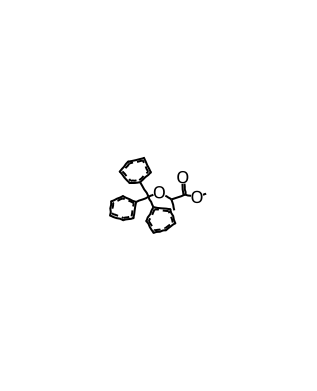 COC(=O)C(C)OC(c1ccccc1)(c1ccccc1)c1ccccc1